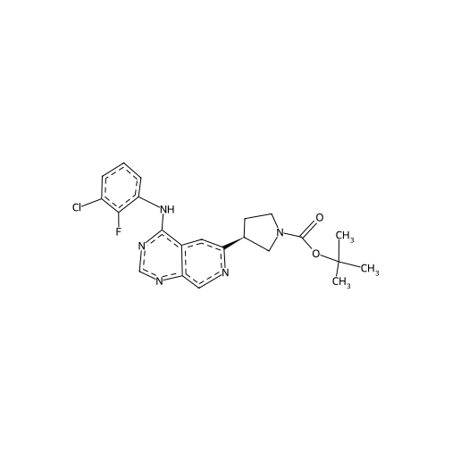 CC(C)(C)OC(=O)N1CC[C@H](c2cc3c(Nc4cccc(Cl)c4F)ncnc3cn2)C1